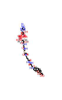 CC(C)(COP(=O)(O)OP(=O)(O)OC[C@H]1O[C@@H](n2cnc3c(N)ncnc32)C(O)C1OP(=O)(O)O)[C@@H](O)C(=O)NCCC(=O)NCCSC1CC(=O)N(CCCCCC(=O)NNC(=O)CCC(=O)N[C@H]2CC[C@@]3(C)[C@H](CC[C@@H]4[C@H]3C[C@@H](O)[C@]3(C)[C@@H](C5=CC(=O)OC5)CC[C@]43O)C2)C1=O